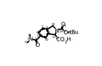 CN(C)C(=O)c1ccc2c(c1)C(C(=O)O)N(C(=O)OC(C)(C)C)C2